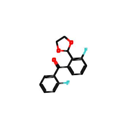 O=C(c1ccccc1F)c1cccc(F)c1C1OCCO1